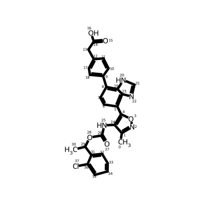 Cc1noc(-c2ccc(-c3ccc(CC(=O)O)cc3)c3[nH]cnc23)c1NC(=O)OC(C)c1ccccc1Cl